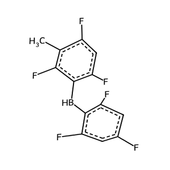 Cc1c(F)cc(F)c(Bc2c(F)cc(F)cc2F)c1F